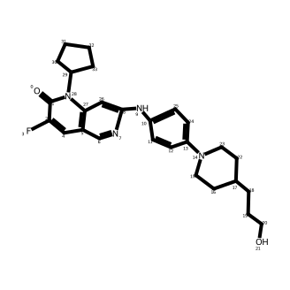 O=c1c(F)cc2cnc(Nc3ccc(N4CCC(CCCO)CC4)cc3)cc2n1C1CCCC1